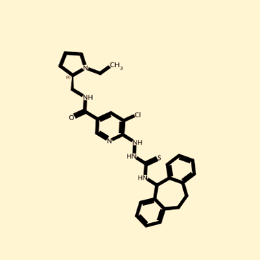 CCN1CCC[C@@H]1CNC(=O)c1cnc(NNC(=S)NC2c3ccccc3CCc3ccccc32)c(Cl)c1